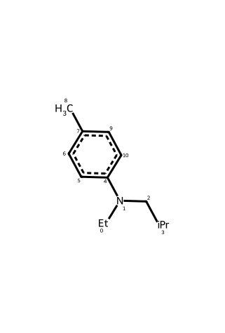 CCN(CC(C)C)c1ccc(C)cc1